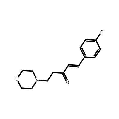 O=C(C=Cc1ccc(Cl)cc1)CCN1CCOCC1